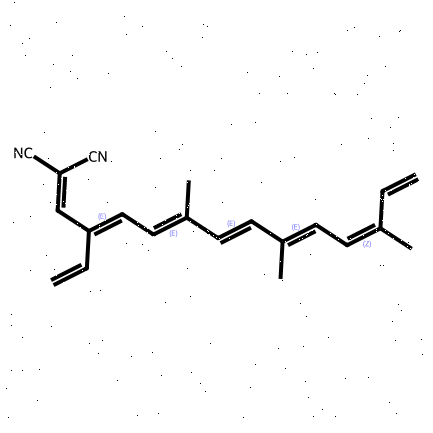 C=C\C(C)=C/C=C(C)/C=C/C(C)=C/C=C(\C=C)C=C(C#N)C#N